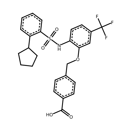 O=C(O)c1ccc(COc2cc(C(F)(F)F)ccc2NS(=O)(=O)c2ccccc2C2CCCC2)cc1